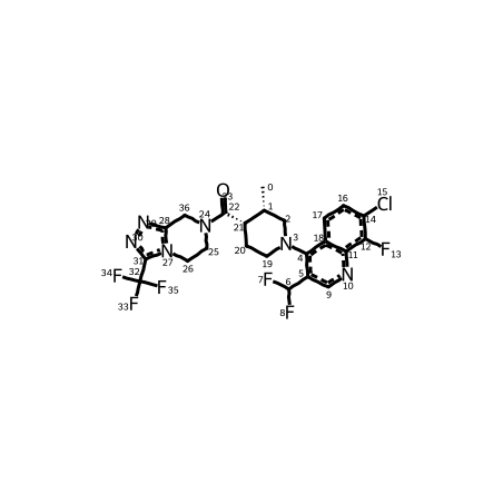 C[C@@H]1CN(c2c(C(F)F)cnc3c(F)c(Cl)ccc23)CC[C@@H]1C(=O)N1CCn2c(nnc2C(F)(F)F)C1